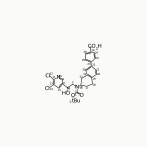 CC(C)(C)OC(=O)N(C[C@H](O)c1cnc(Cl)c(Cl)c1)[C@H]1CCc2ccc(-c3ccc(C(=O)O)cc3)cc2C1